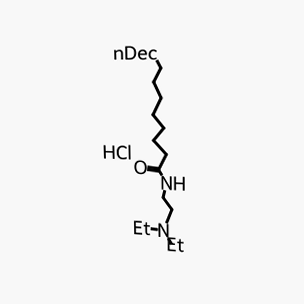 CCCCCCCCCCCCCCCCCC(=O)NCCN(CC)CC.Cl